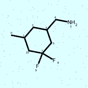 CC1CC(CN)CC(F)(F)C1